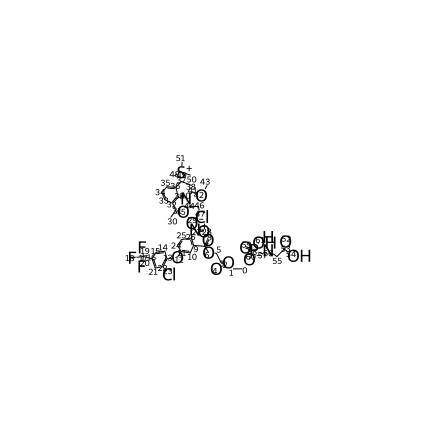 CCOC(=O)COC(=O)c1cc(Oc2ccc(C(F)(F)F)cc2Cl)ccc1[N+](=O)[O-].CCc1cccc(CC)c1N(COC)C(=O)CCl.C[S+](C)C.O=C(O)CNCP(=O)([O-])O